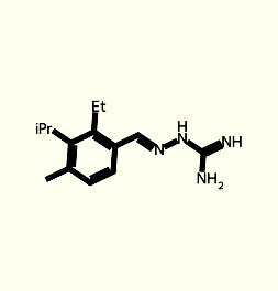 CCc1c(C=NNC(=N)N)ccc(C)c1C(C)C